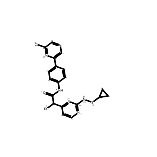 CCC(C(=O)Nc1ccc(-c2cncc(Cl)n2)cc1)c1ccnc(NSC2CC2)n1